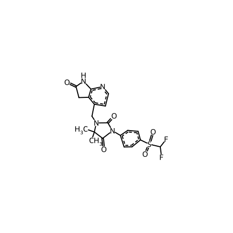 CC1(C)C(=O)N(c2ccc(S(=O)(=O)C(F)F)cc2)C(=O)N1Cc1ccnc2c1CC(=O)N2